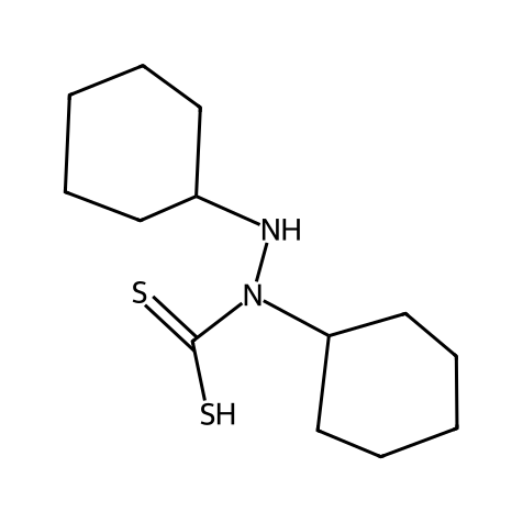 S=C(S)N(NC1CCCCC1)C1CCCCC1